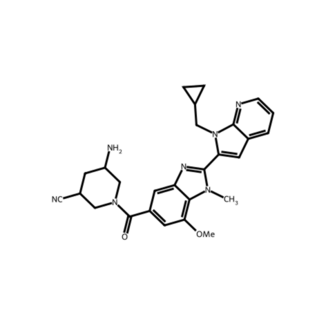 COc1cc(C(=O)N2CC(N)CC(C#N)C2)cc2nc(-c3cc4cccnc4n3CC3CC3)n(C)c12